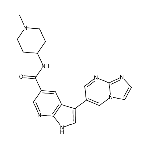 CN1CCC(NC(=O)c2cnc3[nH]cc(-c4cnc5nccn5c4)c3c2)CC1